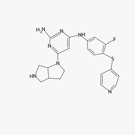 Nc1nc(Nc2ccc(Sc3ccncc3)c(F)c2)cc(N2CCC3CNCC32)n1